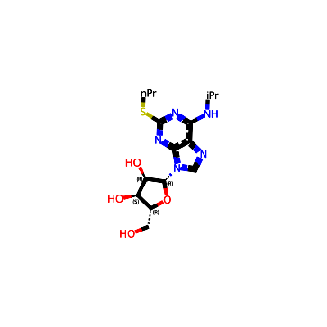 CCCSc1nc(NC(C)C)c2ncn([C@@H]3O[C@H](CO)[C@@H](O)[C@H]3O)c2n1